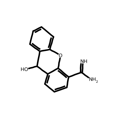 N=C(N)c1cccc2c1Oc1ccccc1C2O